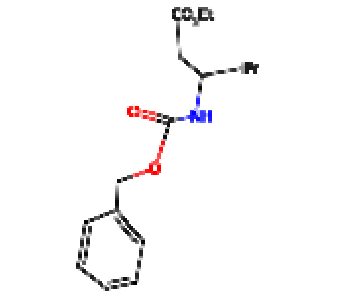 CCOC(=O)CC(NC(=O)OCc1ccccc1)C(C)C